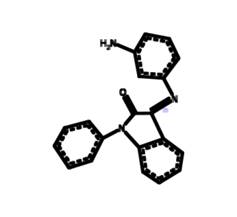 Nc1cccc(/N=C2\C(=O)N(c3ccccc3)c3ccccc32)c1